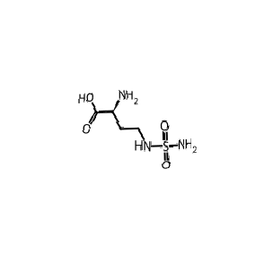 N[C@@H](CCNS(N)(=O)=O)C(=O)O